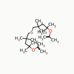 C=C(C)OC(C)(C)CC(C)(C)CSCC(C)(C)CC(C)(C)OC(=C)C